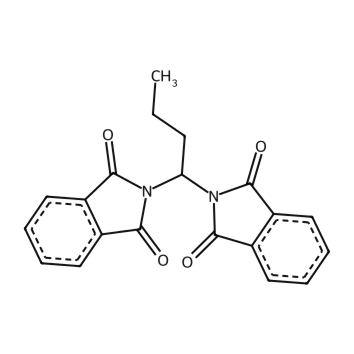 CCCC(N1C(=O)c2ccccc2C1=O)N1C(=O)c2ccccc2C1=O